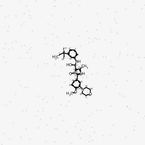 CCC(F)(F)c1cccc(NC(O)c2c(C)[nH]c(-c3ccc(OC)c(N4CCOCC4)c3)[n+]2[O-])c1